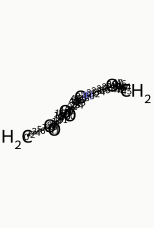 C=CCCCCCCCOC(=O)C#Cc1ccc(OC(=O)C#Cc2ccc(OC/C=C/CCCCCCCCOc3ccc(C=C)cc3)cc2)cc1